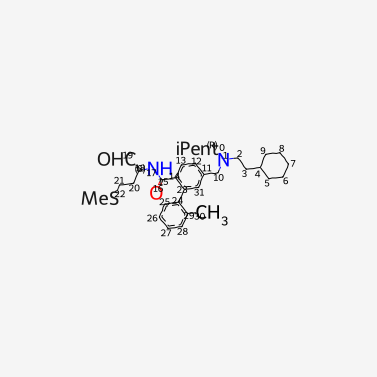 CCC[C@@H](C)N(CCC1CCCCC1)Cc1ccc(C(=O)N[C@H](C=O)CCSC)c(-c2ccccc2C)c1